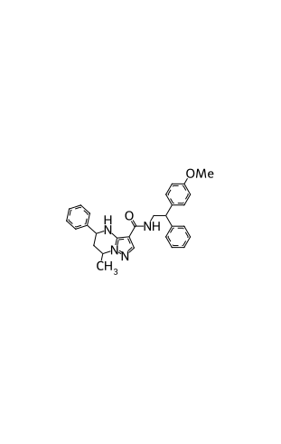 COc1ccc(C(CNC(=O)c2cnn3c2NC(c2ccccc2)CC3C)c2ccccc2)cc1